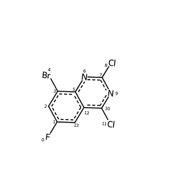 Fc1cc(Br)c2nc(Cl)nc(Cl)c2c1